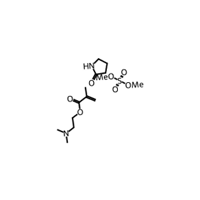 C=C(C)C(=O)OCCN(C)C.COS(=O)(=O)OC.O=C1CCCN1